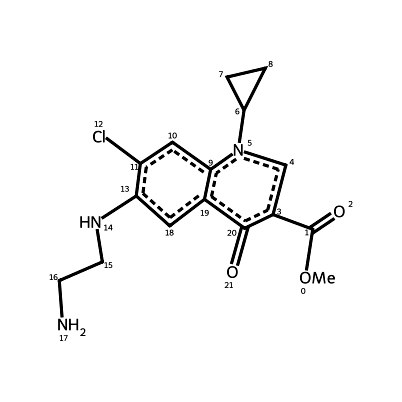 COC(=O)c1cn(C2CC2)c2cc(Cl)c(NCCN)cc2c1=O